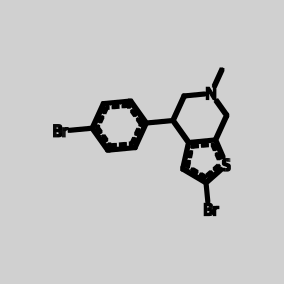 CN1Cc2sc(Br)cc2C(c2ccc(Br)cc2)C1